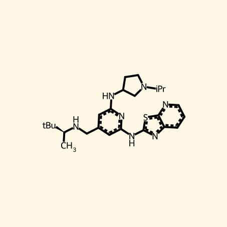 CC(C)N1CCC(Nc2cc(CN[C@@H](C)C(C)(C)C)cc(Nc3nc4cccnc4s3)n2)C1